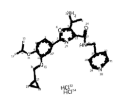 CC(N)c1oc(-c2ccc(OC(F)F)c(OCC3CC3)c2)nc1C(=O)NCc1ccncc1.Cl.Cl